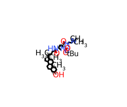 C[C@H](CCC(=O)NC1C[C@@H](C(=O)NCCN(C)C)N(C(=O)OC(C)(C)C)C1)[C@H]1CCC2C3CCC4C[C@H](O)CC[C@]4(C)C3CC[C@@]21C